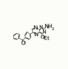 CCOc1nc(N)nc2ncc(-c3ccc(C(=O)c4ccccc4)cc3)nc12